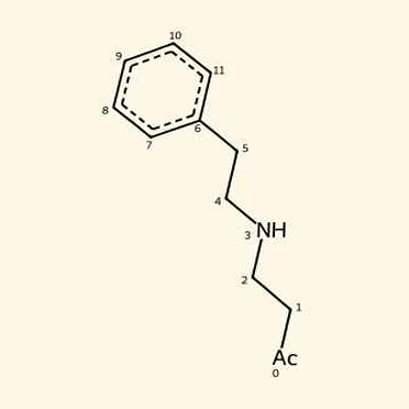 CC(=O)CCNCCc1ccccc1